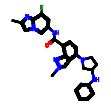 Cc1cn2cc(NC(=O)c3ccc(N4CCC(Nc5ccccc5)C4)c4cn(C)nc34)cc(F)c2n1